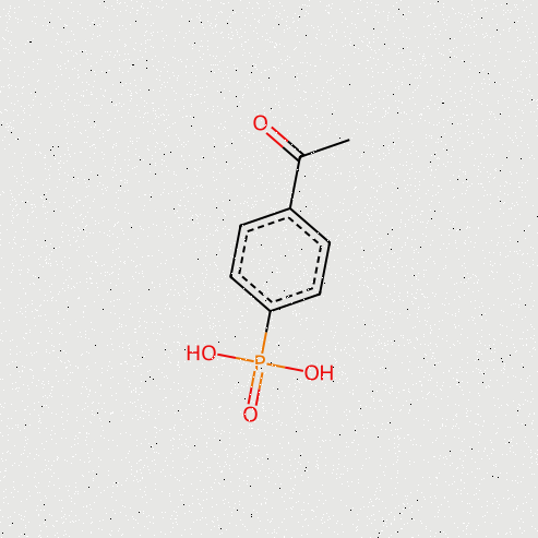 CC(=O)c1ccc(P(=O)(O)O)cc1